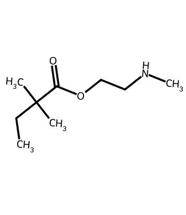 CCC(C)(C)C(=O)OCCNC